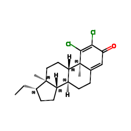 CC[C@H]1CC[C@H]2[C@@H]3CCC4=CC(=O)C(Cl)=C(Cl)[C@]4(C)[C@H]3CC[C@]12C